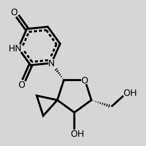 O=c1ccn([C@@H]2O[C@H](CO)C(O)C23CC3)c(=O)[nH]1